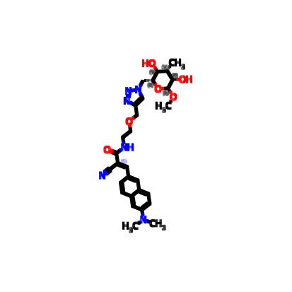 CO[C@H]1O[C@H](Cn2cc(COCCNC(=O)/C(C#N)=C/c3ccc4cc(N(C)C)ccc4c3)nn2)[C@@H](O)[C@H](C)[C@H]1O